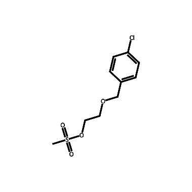 CS(=O)(=O)OCCOCc1ccc(Cl)cc1